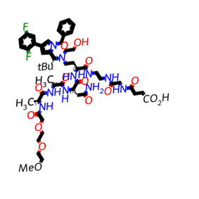 COCCOCCOCC(=O)N[C@@H](C)C(=O)N[C@H](C)C(=O)N[C@@H](CC(N)=O)C(=O)N[C@@H](CCN(C(=O)CO)[C@@H](c1cc(-c2cc(F)ccc2F)cn1Cc1ccccc1)C(C)(C)C)C(=O)NCCNC(=O)CNC(=O)CCC(=O)O